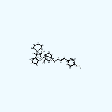 CC(C(=O)O[C@H]1C[N+]2(CC/C=C/c3ccc(C(F)(F)F)cn3)CCC1CC2)(c1cccs1)N1CCCCC1